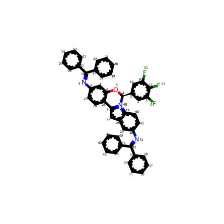 Fc1cc([C@@H]2Oc3cc(N=C(c4ccccc4)c4ccccc4)ccc3-c3cc4cc(N=C(c5ccccc5)c5ccccc5)ccc4n32)cc(F)c1F